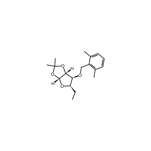 CC[C@H]1O[C@@H]2OC(C)(C)O[C@@H]2[C@H]1OCc1c(C)cccc1C